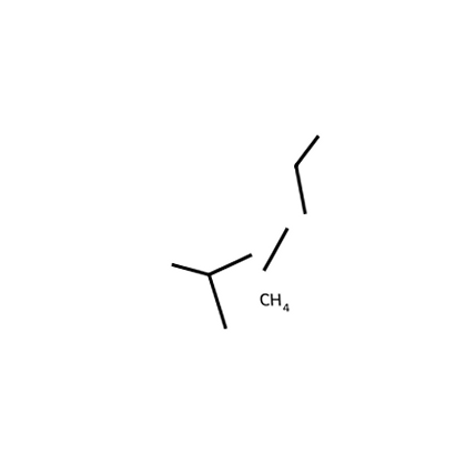 C.CC.CC(C)C.CCC